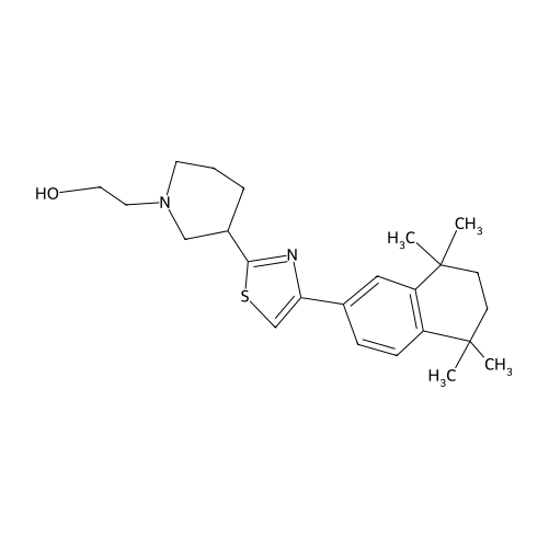 CC1(C)CCC(C)(C)c2cc(-c3csc(C4CCCN(CCO)C4)n3)ccc21